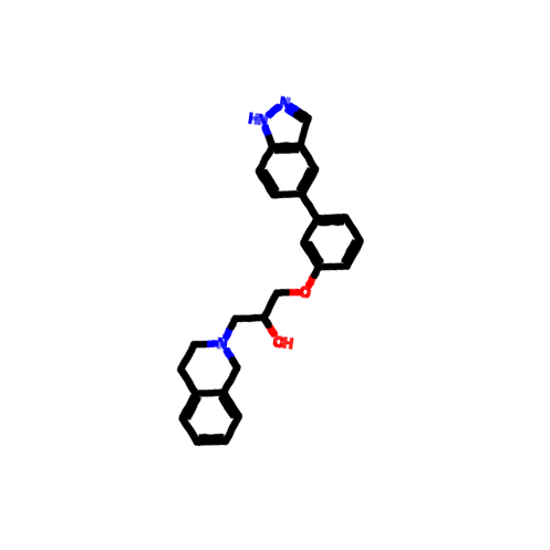 OC(COc1cccc(-c2ccc3[nH]ncc3c2)c1)CN1CCc2ccccc2C1